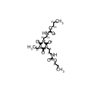 CCCOC(=O)NCCn1c(=O)n(CC)c(=O)n(CCNC(=O)OCCC)c1=O